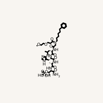 COCCOCCC(=O)N(CCCCCCc1ccccc1)CC(=O)N[C@@H](CC(C)C)C(=O)N[C@@H](Cc1cnc[nH]1)C(=O)N[C@@H](C)C(=O)N[C@H](C(N)=O)[C@@H](C)OP(=O)(O)O